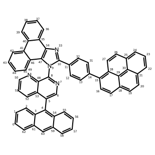 c1ccc2c(-c3cnc(-n4c(-c5ccc(-c6ccc7ccc8cccc9ccc6c7c89)cc5)nc5c6ccccc6c6ccccc6c54)c4ncccc34)c3ccccc3cc2c1